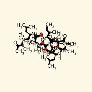 CC[C@H](C)[C@@H](C(=O)NCC(=O)N(C)[C@@H](C)C(=O)N[C@@H](CC(C)C)C(=O)N[C@@H](C)CC(=O)N(C)[C@@H](C)C(=O)N[C@H](CC(C)C)C(=O)N(C)[C@@H](C)C(C)=O)N(C)C(=O)[C@@H]1CCCN1C(=O)[C@@H](C)[C@@H](C)O